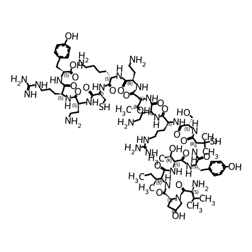 CC[C@H](C)[C@H](NC(=O)[C@@H]1C[C@@H](O)CN1C(=O)[C@@H](N)C(C)C)C(=O)N[C@H](C(=O)N[C@@H](Cc1ccc(O)cc1)C(=O)N[C@H](C(=O)N[C@@H](CO)C(=O)N[C@@H](CCCNC(=N)N)C(=O)N[C@@H](CCN)C(=O)N[C@H](C(=O)N[C@H](CCN)C(=O)N[C@@H](CCCCN)C(=O)N[C@@H](CS)C(=O)N[C@@H](CCN)C(=O)N[C@@H](CCCNC(=N)N)C(=O)N[C@@H](Cc1ccc(O)cc1)C(=O)O)[C@@H](C)O)C(C)(C)S)[C@@H](C)O